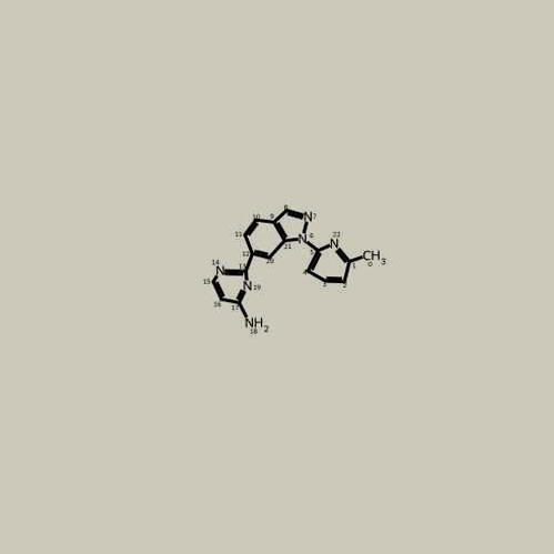 Cc1cccc(-n2ncc3ccc(-c4nccc(N)n4)cc32)n1